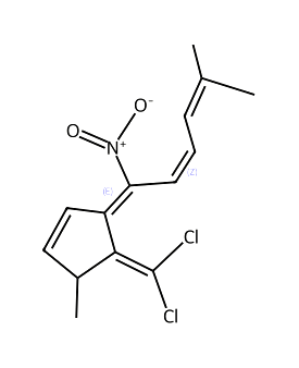 CC(C)=C/C=C\C(=C1\C=CC(C)C1=C(Cl)Cl)[N+](=O)[O-]